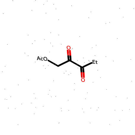 [CH2]CC(=O)C(=O)COC(C)=O